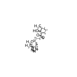 Cc1cccc(S(=O)(=O)CCC(C)Sc2nnnn2C)c1O